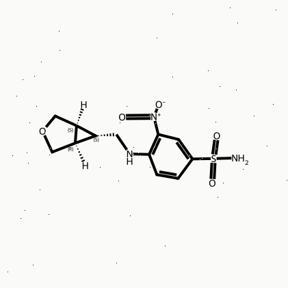 NS(=O)(=O)c1ccc(NC[C@@H]2[C@H]3COC[C@@H]23)c([N+](=O)[O-])c1